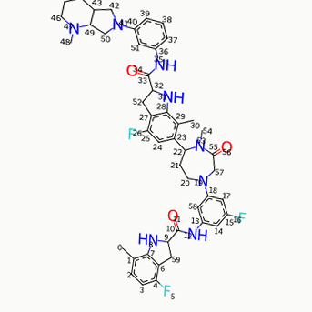 Cc1ccc(F)c2c1NC(C(=O)Nc1cc(F)cc(N3CCC(c4cc(F)c5c(c4C)NC(C(=O)Nc4cccc(N6CC7CCCN(C)C7C6)c4)C5)N(C)C(=O)C3)c1)C2